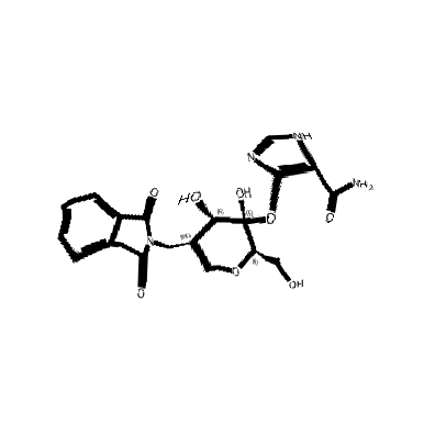 NC(=O)c1[nH]cnc1O[C@@]1(O)[C@H](O)[C@H](N2C(=O)c3ccccc3C2=O)CO[C@@H]1CO